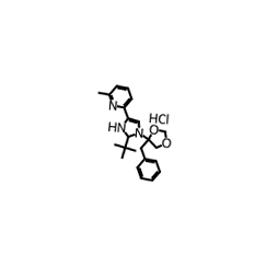 Cc1cccc(C2=CN(C3(Cc4ccccc4)COCO3)C(C(C)(C)C)N2)n1.Cl